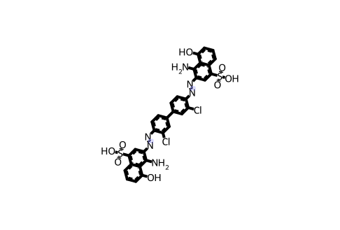 Nc1c(/N=N/c2ccc(-c3ccc(/N=N/c4cc(S(=O)(=O)O)c5cccc(O)c5c4N)c(Cl)c3)cc2Cl)cc(S(=O)(=O)O)c2cccc(O)c12